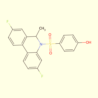 CC1c2cc(F)ccc2-c2ccc(F)cc2N1S(=O)(=O)c1ccc(O)cc1